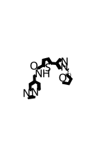 O=C(NCc1ccn2ccnc2c1)c1ccc(-c2cnn(C[C@@H]3CCCO3)c2)s1